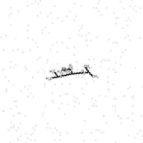 CCCCCC(CCCCC)CCOC(=O)CCCCCCCC(CCCCCCCC(=O)OCCC(CCCCC)CCCCC)COC(=O)C(C)(C)COCCN(C)C